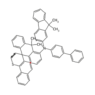 CC1(C)c2ccccc2-c2ccc(N(c3ccc(-c4ccccc4)cc3)c3cccc4c3C(C)(C)c3ccccc3C43c4ccccc4Sc4c3ccc3ccccc43)cc21